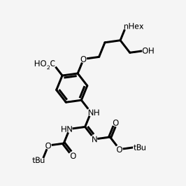 CCCCCCC(CO)CCOc1cc(N/C(=N\C(=O)OC(C)(C)C)NC(=O)OC(C)(C)C)ccc1C(=O)O